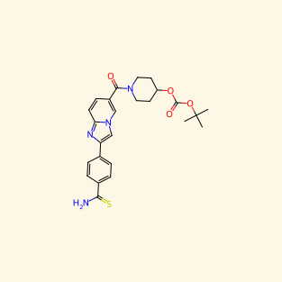 CC(C)(C)OC(=O)OC1CCN(C(=O)c2ccc3nc(-c4ccc(C(N)=S)cc4)cn3c2)CC1